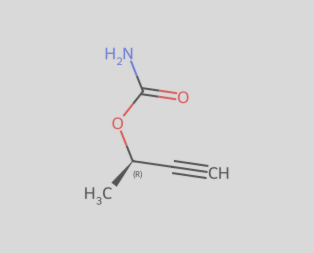 C#C[C@@H](C)OC(N)=O